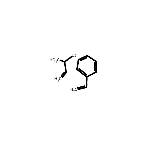 C=CC(CC)C(=O)O.C=Cc1ccccc1